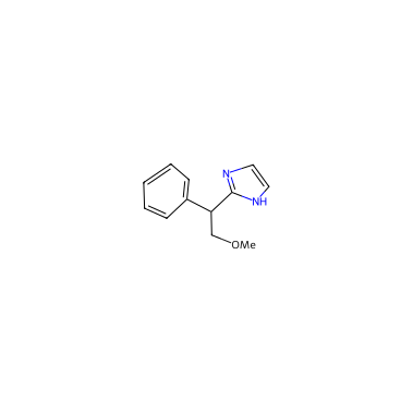 COCC(c1ccccc1)c1ncc[nH]1